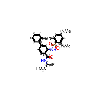 CNc1cc(NC)c(S(=O)(=O)Nc2cc(-c3ccccc3)ccc2C(=O)N[C@H](C(=O)O)C(C)C)c(NC)c1